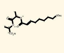 CCCCCCCCCCCCCCCC=CC(=O)OC(C)C(=O)OC(C)C(=O)O